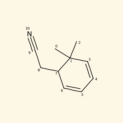 CC1(C)C=CC=CC1CC#N